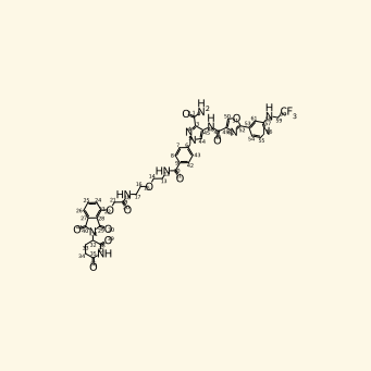 NC(=O)c1nn(-c2ccc(C(=O)NCCOCCNC(=O)COc3cccc4c3C(=O)N(C3CCC(=O)NC3=O)C4=O)cc2)cc1NC(=O)c1coc(-c2ccnc(NCC(F)(F)F)c2)n1